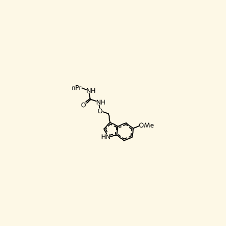 CCCNC(=O)NOCc1c[nH]c2ccc(OC)cc12